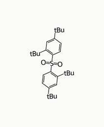 CC(C)(C)c1ccc(S(=O)(=O)c2ccc(C(C)(C)C)cc2C(C)(C)C)c(C(C)(C)C)c1